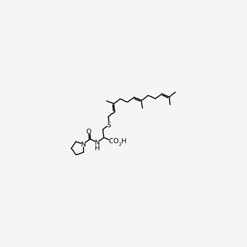 CC(C)=CCC/C(C)=C/CC/C(C)=C/CSCC(NC(=O)N1CCCC1)C(=O)O